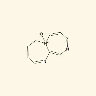 [O-][N+]12C=CC=NC=C1N=CC=CC2